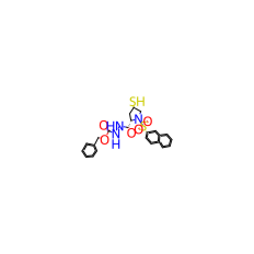 O=C(NNC(=O)[C@@H]1C[C@@H](S)CN1S(=O)(=O)c1ccc2ccccc2c1)OCc1ccccc1